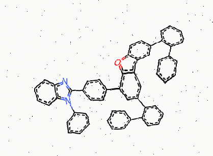 c1ccc(-c2ccccc2-c2ccc3oc4c(-c5ccc(-c6nc7ccccc7n6-c6ccccc6)cc5)cc(-c5ccccc5-c5ccccc5)cc4c3c2)cc1